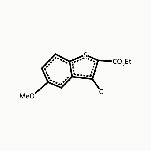 CCOC(=O)c1sc2ccc(OC)cc2c1Cl